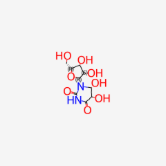 O=C1NC(=O)N([C@@H]2O[C@H](CO)C(O)[C@@H]2O)C(O)C1O